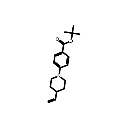 C=CC1CCN(c2ccc(C(=O)OC(C)(C)C)cc2)CC1